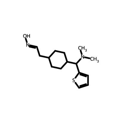 CN(C)C(c1cccs1)C1CCC(CC=NO)CC1